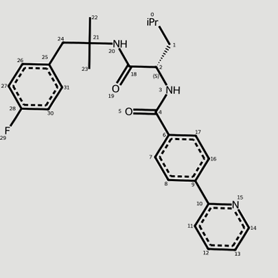 CC(C)C[C@H](NC(=O)c1ccc(-c2ccccn2)cc1)C(=O)NC(C)(C)Cc1ccc(F)cc1